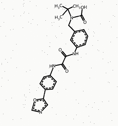 CC(C)(C)N(Cc1cccc(NC(=O)C(=O)Nc2ccc(-c3cnco3)cc2)c1)C(=O)O